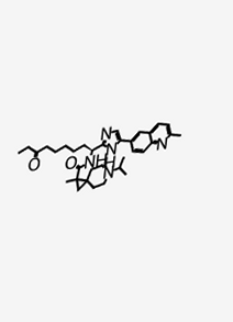 CCC(=O)CCCCC[C@H](NC(=O)C1(C)CC12CCN(C(C)C)CC2)c1ncc(-c2ccc3nc(C)ccc3c2)[nH]1